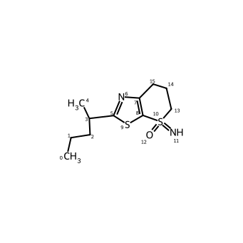 CCCC(C)c1nc2c(s1)S(=N)(=O)CCC2